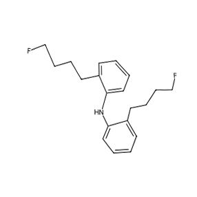 FCCCCc1ccccc1Nc1ccccc1CCCCF